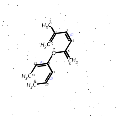 C=C(C)/C=C\C(=C)OC(/C=C\C)=C/C